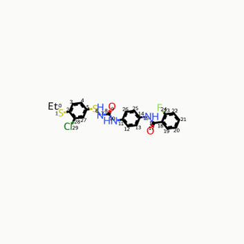 CCSc1ccc(SNC(=O)Nc2ccc(NC(=O)c3ccccc3F)cc2)cc1Cl